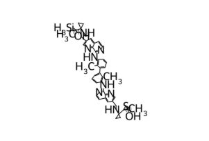 Cc1c(Nc2nccc3cc(CNC4(C5S[C@]5(C)O)CC4)cnc23)cccc1-c1cccc(Nc2nccc3cc(CNC4([C@@](C)(O)[SiH3])CC4)cnc23)c1C